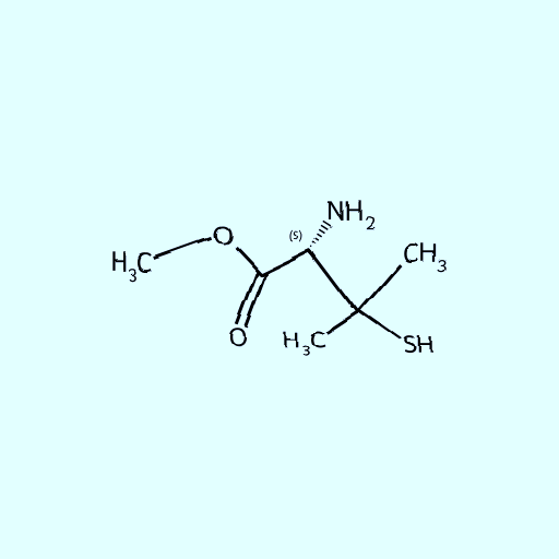 COC(=O)[C@H](N)C(C)(C)S